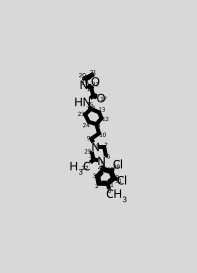 Cc1ccc(N2CCN(CCC3CCC(NC(=O)c4ncco4)CC3)CC2C)c(Cl)c1Cl